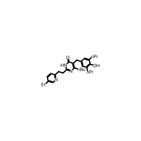 CCCCc1nc(CCc2ccc(CC)cn2)[nH]c(=O)c1Cc1cc(CCC)c(O)c(CCC)c1